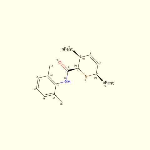 CCCCC[C@H]1C=C[C@@H](CCCCC)S[C@H]1C(=O)Nc1c(C)cccc1C